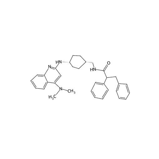 CN(C)c1cc(N[C@H]2CC[C@@H](CNC(=O)C(Cc3ccccc3)c3ccccc3)CC2)nc2ccccc12